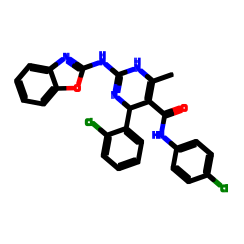 CC1=C(C(=O)Nc2ccc(Cl)cc2)C(c2ccccc2Cl)N=C(Nc2nc3ccccc3o2)N1